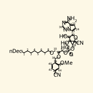 CCCCCCCCCCCCCCCCCCOC[C@H](COP(=O)(O)OC1[C@@]2(C#N)O[C@@H](c3ccc4c(N)ncnn34)[C@H](O)[C@@]12O)OCc1ccc(C#N)cc1OC